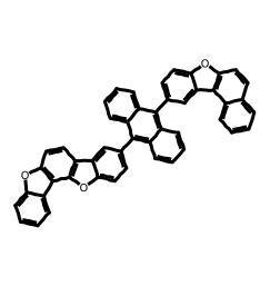 c1ccc2c(c1)ccc1oc3ccc(-c4c5ccccc5c(-c5ccc6oc7c(ccc8oc9ccccc9c87)c6c5)c5ccccc45)cc3c12